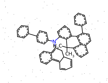 CC1(C)c2c(cccc2N(C2=c3ccccc3=C3C=CC=CC3C2)c2ccc(-c3ccccc3)cc2)-c2c(-c3ccccc3)ccc3cccc1c23